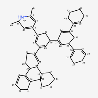 CC1=CC(C2=CC(C3=CC4C5=C(CCCC5)C5=C(C=CCC5)C4CC3)=CC(C3=CC(C4=CCCC=C4)CC(C4=CCCCC4)=C3)C2)=CC(C)N1